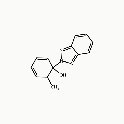 CC1C=CC=CC1(O)n1nc2ccccc2n1